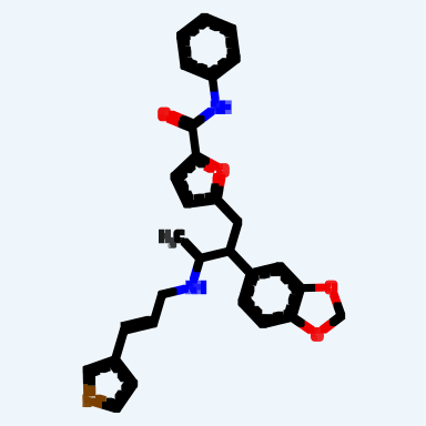 CC(NCC=Cc1ccsc1)C(Cc1ccc(C(=O)Nc2ccccc2)o1)c1ccc2c(c1)OCO2